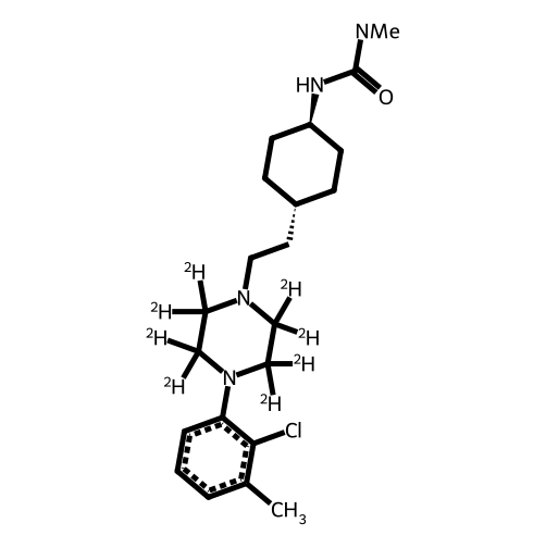 [2H]C1([2H])N(CC[C@H]2CC[C@H](NC(=O)NC)CC2)C([2H])([2H])C([2H])([2H])N(c2cccc(C)c2Cl)C1([2H])[2H]